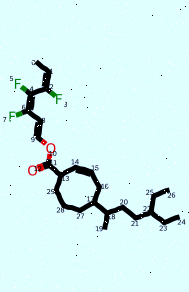 C\C=C(F)/C(F)=C(F)\C=C\OC(=O)C1C=CCC(C(C)CCC(CC)CC)CCC1